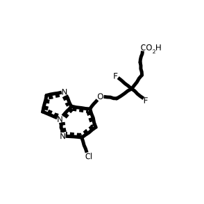 O=C(O)CCC(F)(F)COc1cc(Cl)nn2ccnc12